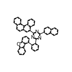 c1ccc(-c2cccc3oc4ccccc4c23)c(-c2nc(-c3ccc4ccccc4c3)nc(-c3cc4ccc5ccccc5c4c4ccccc34)n2)c1